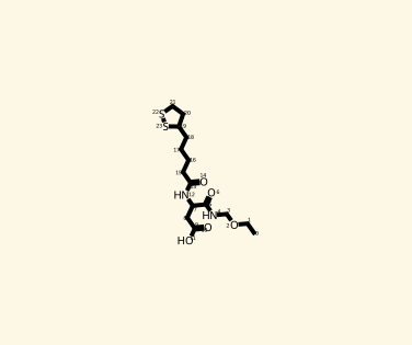 CCOCNC(=O)C(CC(=O)O)NC(=O)CCCCC1CCSS1